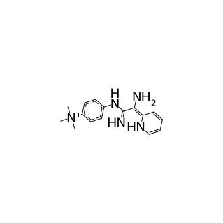 C[N+](C)(C)c1ccc(NC(=N)/C(N)=C2/C=CC=CN2)cc1